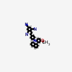 COc1ccc(N(c2ccc(C=Cc3c(C#N)cc(C#N)cc3C#N)cc2)c2cccc3ccccc23)cc1